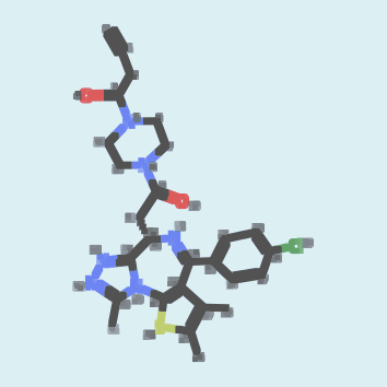 C#CCC(=O)N1CCN(C(=O)C[C@@H]2N=C(c3ccc(Cl)cc3)c3c(sc(C)c3C)-n3c(C)nnc32)CC1